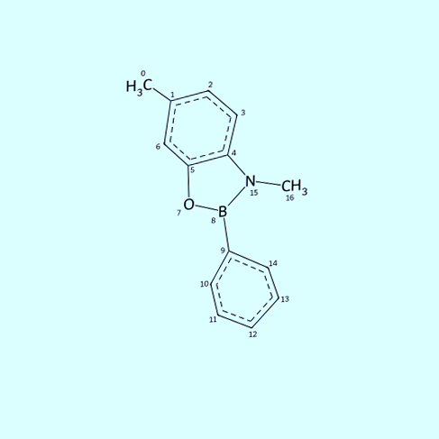 Cc1ccc2c(c1)OB(c1ccccc1)N2C